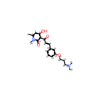 Cc1cc(O)c(C(=O)/C=C/c2cccc(OCCCN(C)C)c2)c(=O)n1C